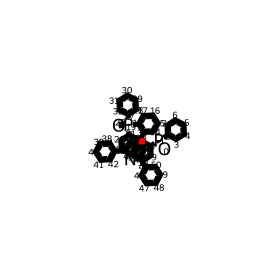 O=P(c1ccccc1)(c1ccccc1)c1cccc(P(=O)(c2ccccc2)c2ccccc2)c1-c1cc(-c2ccccc2)nc(-c2ccccc2)c1